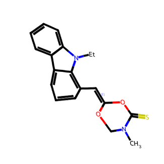 CCn1c2ccccc2c2cccc(/C=C3\OCN(C)C(=S)O3)c21